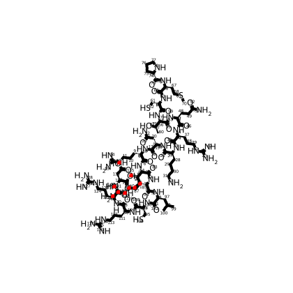 CC[C@H](C)[C@H](NC(=O)[C@H](CCCNC(=N)N)NC(=O)[C@H](CC(N)=O)NC(=O)[C@H](CCCCN)NC(=O)[C@H](CCCNC(=N)N)NC(=O)[C@H](CCC(N)=O)NC(=O)[C@@H](NC(=O)[C@H](CS)NC(=O)[C@H](CCSC)NC(=O)[C@@H]1CCCN1)[C@@H](C)O)C(=O)N[C@@H](CCCNC(=N)N)C(=O)N[C@@H](CC(C)C)C(=O)N[C@@H](CS)C(=O)N[C@@H](CCCNC(=N)N)C(=O)N[C@@H](CCCNC(=N)N)C(=O)N[C@@H](CC(=O)O)C(=O)O